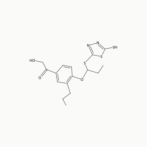 CCCc1cc(C(=O)CO)ccc1OC(CC)Sc1nnc(S)s1